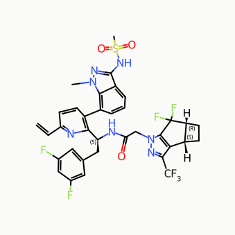 C=Cc1ccc(-c2cccc3c(NS(C)(=O)=O)nn(C)c23)c([C@H](Cc2cc(F)cc(F)c2)NC(=O)Cn2nc(C(F)(F)F)c3c2C(F)(F)[C@@H]2CC[C@H]32)n1